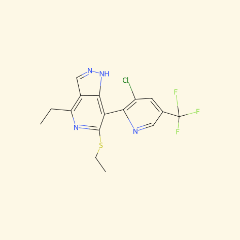 CCSc1nc(CC)c2cn[nH]c2c1-c1ncc(C(F)(F)F)cc1Cl